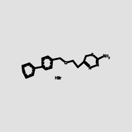 Br.NC1=NN=C(CCOCc2ccc(-c3ccccc3)cc2)CS1